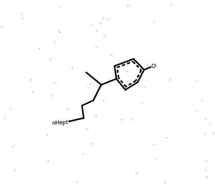 CCCCCCCCCCC(C)c1ccc([O])cc1